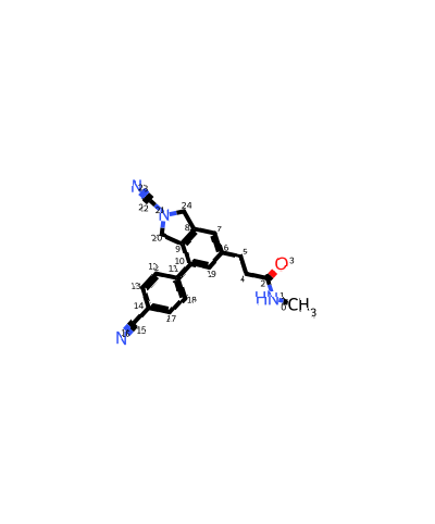 CNC(=O)CCc1cc2c(c(-c3ccc(C#N)cc3)c1)CN(C#N)C2